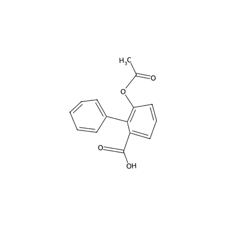 CC(=O)Oc1cccc(C(=O)O)c1-c1ccccc1